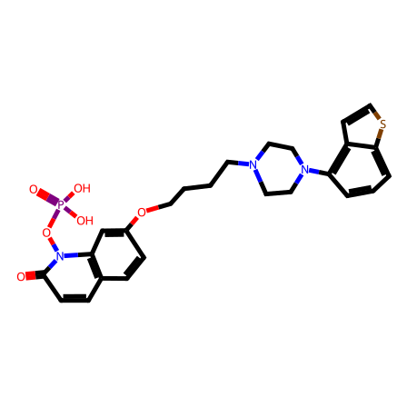 O=c1ccc2ccc(OCCCCN3CCN(c4cccc5sccc45)CC3)cc2n1OP(=O)(O)O